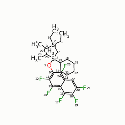 CC[Si](CC)(CC)C[Si](Oc1c(F)c(F)c2c(F)c(F)c(F)[c]c2c1F)(C(C)C)C1CCCCC1